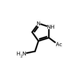 CC(=O)c1[nH]ncc1CN